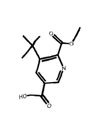 COC(=O)c1ncc(C(=O)O)cc1C(C)(C)C